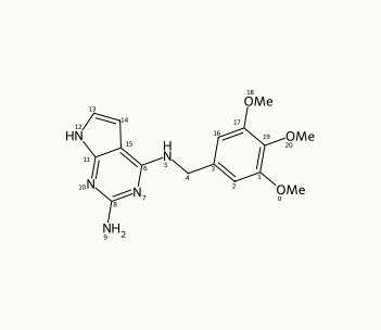 COc1cc(CNc2nc(N)nc3[nH]ccc23)cc(OC)c1OC